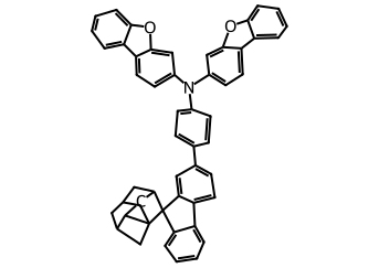 c1ccc2c(c1)-c1ccc(-c3ccc(N(c4ccc5c(c4)oc4ccccc45)c4ccc5c(c4)oc4ccccc45)cc3)cc1C21C2CC3CC4CC1(C3)C4C2